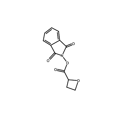 O=C(ON1C(=O)c2ccccc2C1=O)C1CCO1